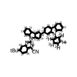 [2H]c1c([2H])c([2H])c(-n2c3ccccc3c3ccc(-c4ccc5c(c4)c4ccccc4n5-c4nc(C#N)c5ccc(C(C)(C)C)cc5n4)cc32)c([2H])c1[2H]